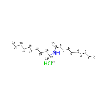 CCCCCCCCCC(C)NC(C)CCCCCCCCC.Cl